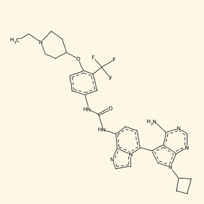 CCN1CCC(Oc2ccc(NC(=O)Nc3ccc(-c4cn(C5CCC5)c5ncnc(N)c45)n4ccnc34)cc2C(F)(F)F)CC1